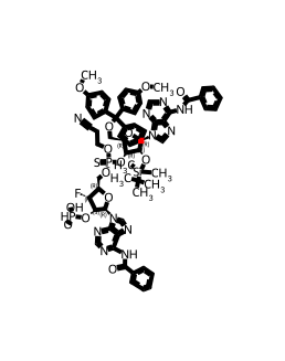 COc1ccc(C(OC[C@H]2O[C@@H](n3cnc4c(NC(=O)c5ccccc5)ncnc43)[C@H](O[Si](C)(C)C(C)(C)C)[C@@H]2OP(=S)(OCCC#N)OC[C@H]2O[C@@H](n3cnc4c(NC(=O)c5ccccc5)ncnc43)[C@H](O[PH](=O)O)[C@@H]2F)(c2ccccc2)c2ccc(OC)cc2)cc1